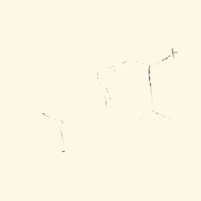 Cc1cc(C2COC2)ccc1F